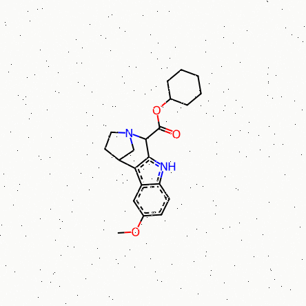 COc1ccc2[nH]c3c(c2c1)C1CCN(C1)C3C(=O)OC1CCCCC1